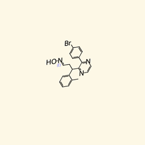 Cc1ccccc1C(C/C=N/O)c1nccnc1-c1ccc(Br)cc1